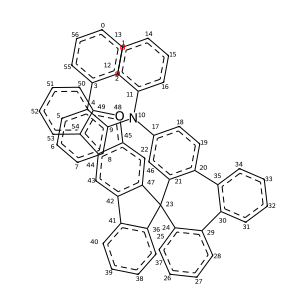 c1ccc(-c2ccccc2N(c2ccccc2)c2ccc3c(c2)C2(c4ccccc4-c4ccccc4-3)c3ccccc3-c3cc4c(cc32)oc2ccccc24)cc1